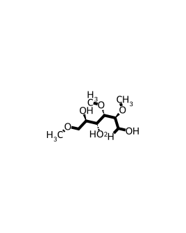 [2H]C(O)[C@H](OC)[C@@H](OC)[C@H](O)[C@H](O)COC